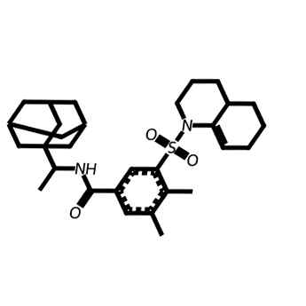 Cc1cc(C(=O)NC(C)C23CC4CC(CC(C4)C2)C3)cc(S(=O)(=O)N2CCCC3CCCC=C32)c1C